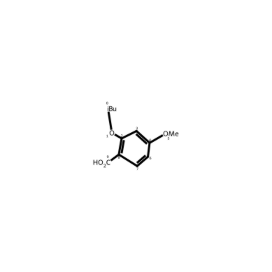 CCC(C)Oc1cc(OC)ccc1C(=O)O